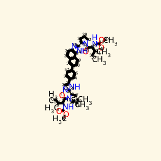 CC[C@H](C)[C@H](NC(=O)OC)C(=O)N1C[Si](C)(C)C[C@H]1c1ncc(-c2ccc(-c3ccc4c(ccc5nc([C@@H]6CCCN6C(=O)[C@@H](NC(=O)OC)[C@@H](C)CC)[nH]c54)c3)cc2)[nH]1